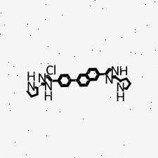 Clc1nc([C@@H]2CCCN2)[nH]c1-c1ccc(-c2ccc3cc(-c4c[nH]c(C5CCCN5)n4)ccc3c2)cc1